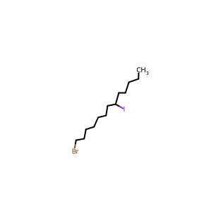 CCCCCC(I)CCCCCCCBr